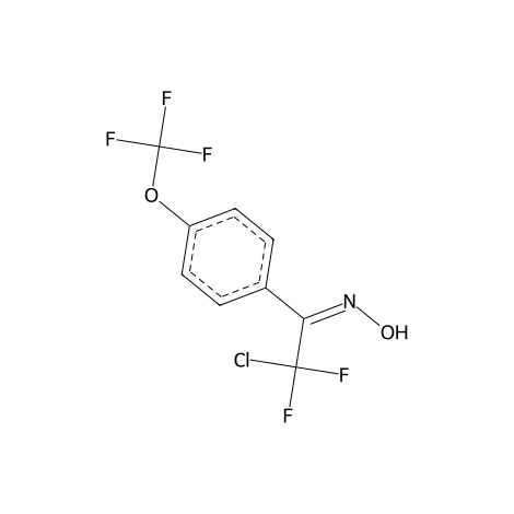 ON=C(c1ccc(OC(F)(F)F)cc1)C(F)(F)Cl